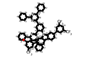 FC(F)(F)c1cc(-c2ccc3c4ccc(-c5cc(C(F)(F)F)cc(C(F)(F)F)c5)cc4n(-c4ccc(-c5cc(-c6ccccc6)nc(-c6ccccc6)n5)cc4-c4nc(-c5ccccc5)cc(-c5ccccc5)n4)c3c2)cc(C(F)(F)F)c1